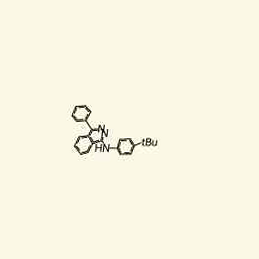 CC(C)(C)c1ccc(Nc2nnc(-c3ccccc3)c3ccccc23)cc1